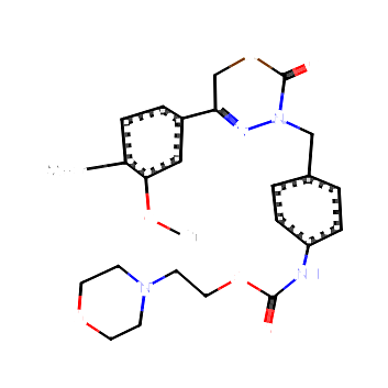 COc1ccc(C2=NN(Cc3ccc(NC(=O)OCCN4CCOCC4)cc3)C(=O)SC2)cc1OC(C)C